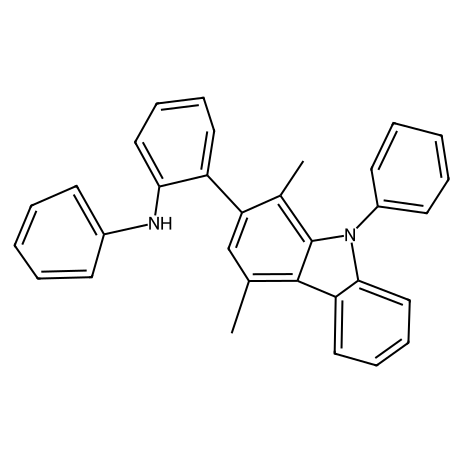 Cc1cc(-c2ccccc2Nc2ccccc2)c(C)c2c1c1ccccc1n2-c1ccccc1